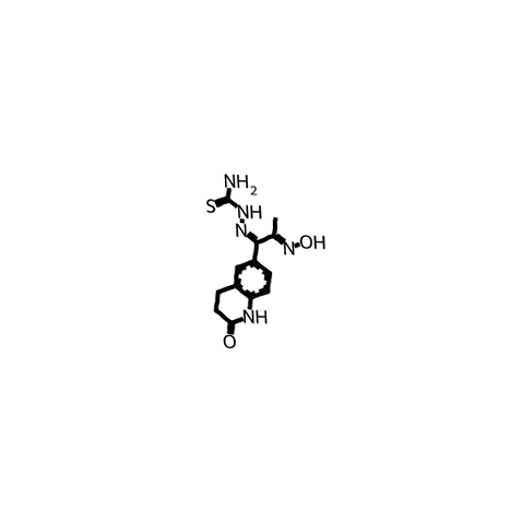 CC(=NO)C(=NNC(N)=S)c1ccc2c(c1)CCC(=O)N2